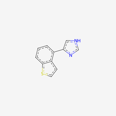 c1cc(-c2c[nH]cn2)c2ccsc2c1